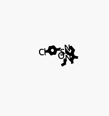 CCCn1c(C)c(C)c2ccnc([S+]([O-])Cc3ccc(Cl)cc3)c21